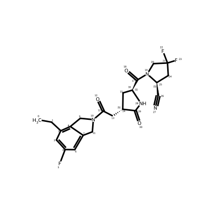 CCc1cc(F)cc2c1CN(C(=O)C[C@@H]1C[C@@H](C(=O)N3CC(F)(F)C[C@H]3C#N)NC1=O)C2